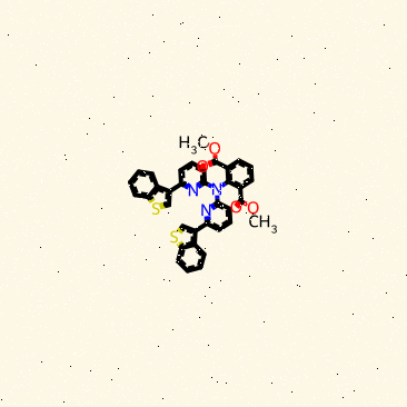 COC(=O)c1cccc(C(=O)OC)c1N(c1cccc(-c2csc3ccccc23)n1)c1cccc(-c2csc3ccccc23)n1